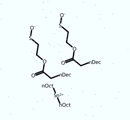 CCCCCCCCCCCC(=O)OCCS[O-].CCCCCCCCCCCC(=O)OCCS[O-].CCCCCCC[CH2][Sn+2][CH2]CCCCCCC